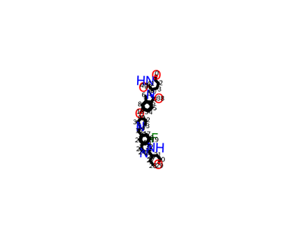 O=C1CC[C@H](N2Cc3cc(O[C@H]4CCN(Cc5cc(F)c6c(c5)C=NC(C5CCOCC5)N6)C4)ccc3C2=O)C(=O)N1